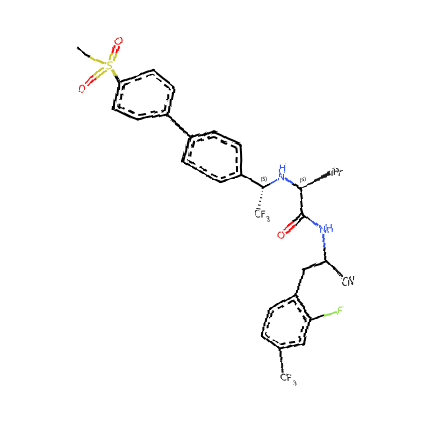 CC(C)[C@H](N[C@@H](c1ccc(-c2ccc(S(C)(=O)=O)cc2)cc1)C(F)(F)F)C(=O)NC(C#N)Cc1ccc(C(F)(F)F)cc1F